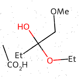 CC(=O)O.CCOC(O)(CC)COC